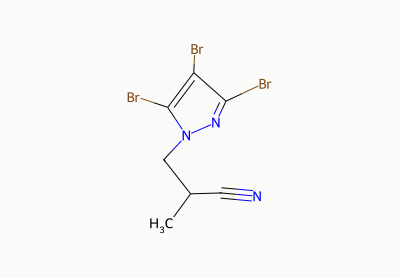 CC(C#N)Cn1nc(Br)c(Br)c1Br